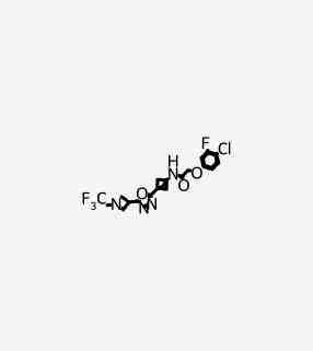 O=C(COc1ccc(Cl)c(F)c1)NC12CC(c3nnc(C4CN(CC(F)(F)F)C4)o3)(C1)C2